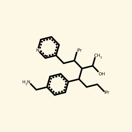 CC(C)CCC(c1ccc(CN)cc1)C(C(C)O)C(Cc1cccnc1)C(C)C